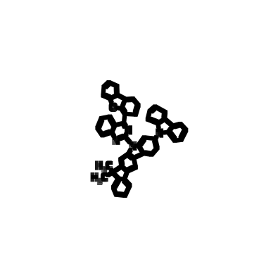 CC1(C)c2ccccc2-c2cc3c4ccc(-n5c6ccccc6c6ccccc65)cc4n(-c4nc(-c5cccc6c5oc5ccccc56)c5ccccc5n4)c3cc21